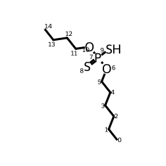 CCCCCCOP(=S)(S)OCCCC